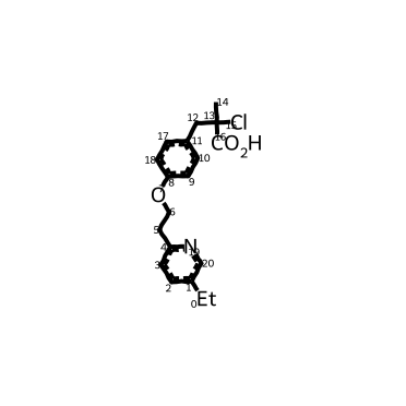 CCc1ccc(CCOc2ccc(CC(C)(Cl)C(=O)O)cc2)nc1